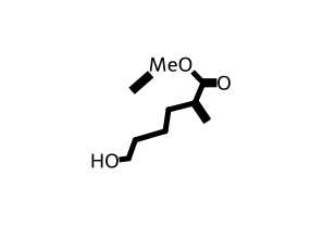 C=C.C=C(CCCCO)C(=O)OC